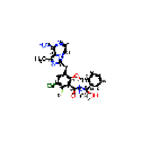 Cc1nc(Cc2cc(Cl)c(F)c(C(=O)N[C@](C)(O)c3ccccc3)c2OC(C)C)n2ccnc(N)c12